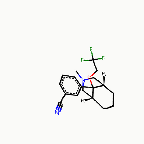 CN1C[C@H]2CCC[C@@H](C1)C2(OCC(F)(F)F)c1cccc(C#N)c1